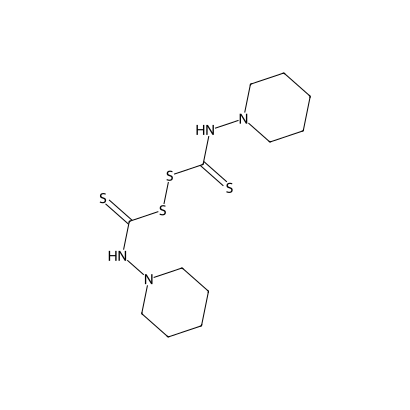 S=C(NN1CCCCC1)SSC(=S)NN1CCCCC1